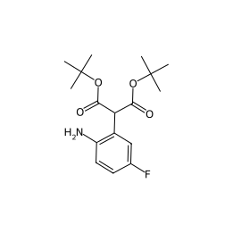 CC(C)(C)OC(=O)C(C(=O)OC(C)(C)C)c1cc(F)ccc1N